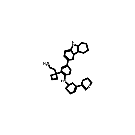 NCCC1(C2=C(NC3CCC=C(C4=CCCCC4)C3)CCC(C3=CC=C4NC5=C(CCCC5)C4C3)=C2)CCC1